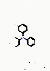 C/C=C(\C)N(C1=CC=C[C@@H](C)C1)c1ccccc1